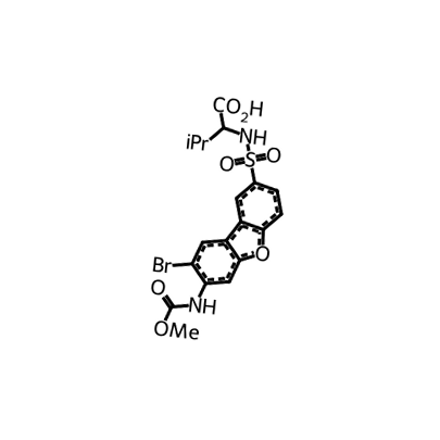 COC(=O)Nc1cc2oc3ccc(S(=O)(=O)NC(C(=O)O)C(C)C)cc3c2cc1Br